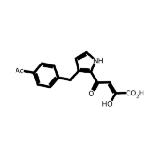 CC(=O)c1ccc(Cc2cc[nH]c2C(=O)C=C(O)C(=O)O)cc1